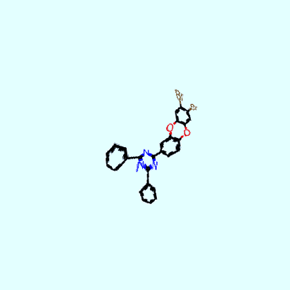 Brc1cc2c(cc1Br)Oc1cc(-c3nc(-c4ccccc4)nc(-c4ccccc4)n3)ccc1O2